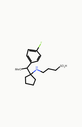 COC(c1ccc(F)cc1)C1(NCCCS(=O)(=O)O)CCCC1